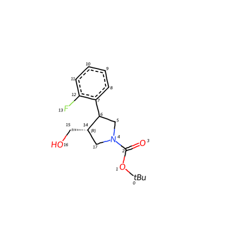 CC(C)(C)OC(=O)N1CC(c2ccccc2F)[C@@H](CO)C1